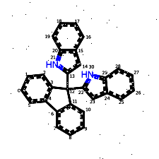 c1ccc2c(c1)-c1ccccc1C2(c1cc2ccccc2[nH]1)c1cc2ccccc2[nH]1